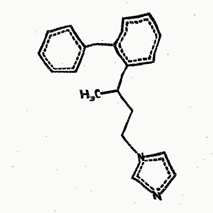 CC(CCn1ccnc1)c1ccccc1-c1ccccc1